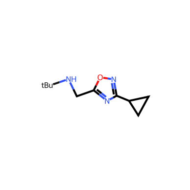 CC(C)(C)NCc1nc(C2CC2)no1